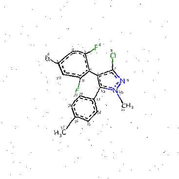 CCc1cc(F)c(-c2c(Cl)nn(C)c2-c2ccc(C)cc2)c(F)c1